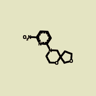 O=[N+]([O-])c1cccc(N2CCOC3(CCOC3)C2)n1